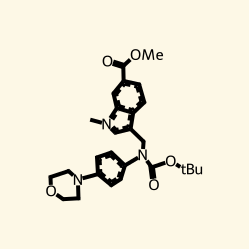 COC(=O)c1ccc2c(CN(C(=O)OC(C)(C)C)c3ccc(N4CCOCC4)cc3)cn(C)c2c1